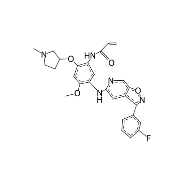 C=CC(=O)Nc1cc(Nc2cc3c(-c4cccc(F)c4)noc3cn2)c(OC)cc1OC1CCN(C)C1